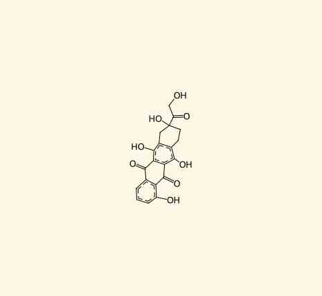 O=C1c2cccc(O)c2C(=O)c2c(O)c3c(c(O)c21)CC(O)(C(=O)CO)CC3